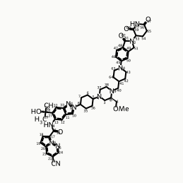 COC[C@H]1CN(C2CCC(n3cc4cc(NC(=O)c5ccc6cc(C#N)cnn56)c(C(C)(C)O)cc4n3)CC2)CCN1CC1CCN(c2ccc3c(c2)CN(C2CCC(=O)NC2=O)C3=O)CC1